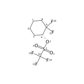 O=S(=O)(O[C@@H]1CCCCC1(F)F)C(F)(F)F